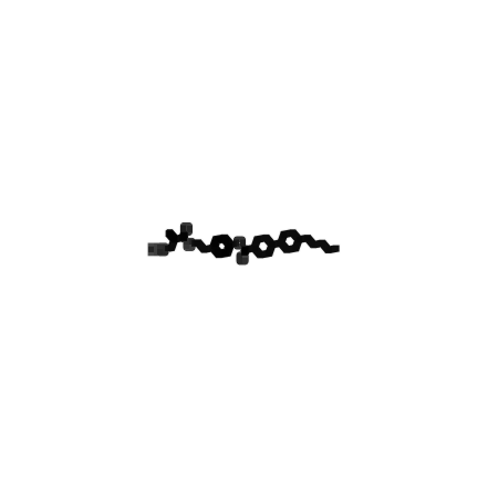 C=C(CO)C(=O)OCCc1ccc(OC(=O)C2CCC(C3CCC(CCCCC)CC3)CC2)cc1